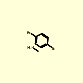 Brc1ccc(Br)cc1.CN